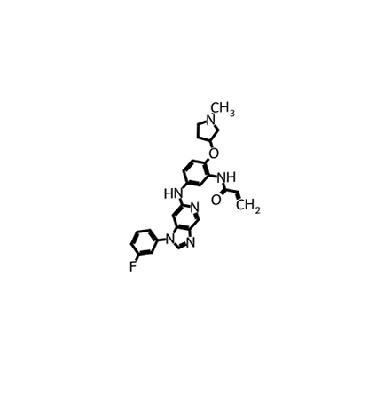 C=CC(=O)Nc1cc(Nc2cc3c(cn2)ncn3-c2cccc(F)c2)ccc1OC1CCN(C)C1